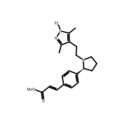 CCn1nc(C)c(CCN2CCC[C@H]2c2ccc(C=CC(=O)OC)cc2)c1C